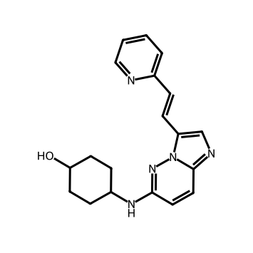 OC1CCC(Nc2ccc3ncc(C=Cc4ccccn4)n3n2)CC1